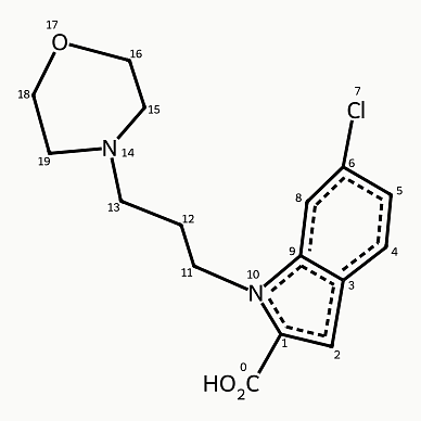 O=C(O)c1cc2ccc(Cl)cc2n1CCCN1CCOCC1